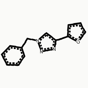 c1ccc(Cn2cc(-c3ccco3)nn2)cc1